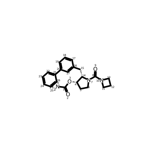 NC(=O)O[C@H]1CCN(C(=O)N2CCC2)[C@H]1Cc1cccc(-c2ccccc2)c1